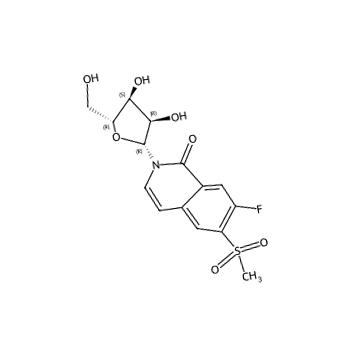 CS(=O)(=O)c1cc2ccn([C@@H]3O[C@H](CO)[C@@H](O)[C@H]3O)c(=O)c2cc1F